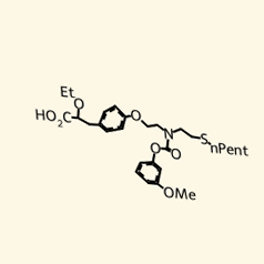 CCCCCSCCN(CCOc1ccc(CC(OCC)C(=O)O)cc1)C(=O)Oc1cccc(OC)c1